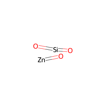 O=[Si]=O.[O]=[Zn]